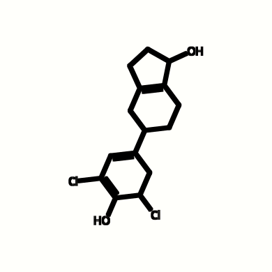 OC1=C(Cl)C=C(C2CCC3=C(CCC3O)C2)CC1Cl